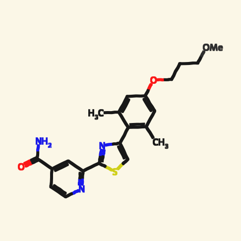 COCCCOc1cc(C)c(-c2csc(-c3cc(C(N)=O)ccn3)n2)c(C)c1